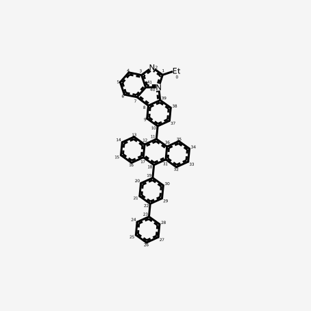 CCc1nc2cccc3c4cc(-c5c6ccccc6c(-c6ccc(-c7ccccc7)cc6)c6ccccc56)ccc4n1c23